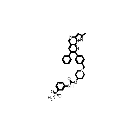 Cc1cc2ncc3cc(-c4ccccc4)c(-c4ccc(CN5CCC(OC(=O)Nc6cccc(S(N)(=O)=O)c6)CC5)cc4)nc3n2n1